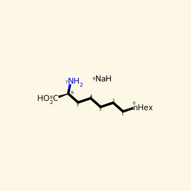 CCCCCCCCCCC[C@H](N)C(=O)O.[NaH]